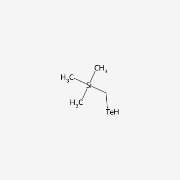 C[Si](C)(C)C[TeH]